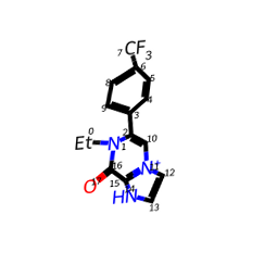 CCn1c(-c2ccc(C(F)(F)F)cc2)c[n+]2cc[nH]c2c1=O